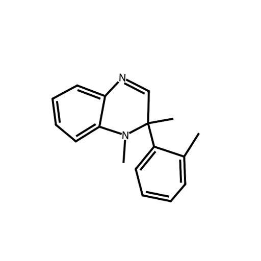 Cc1ccccc1C1(C)C=Nc2ccccc2N1C